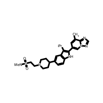 CNS(=O)(=O)CCN1CCC(c2ccc3[nH]c(-c4cc(C)c5ncnn5c4)c(C(C)C)c3c2)CC1